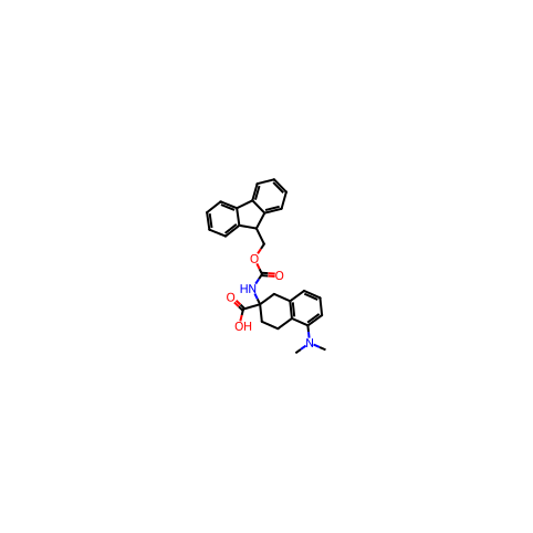 CN(C)c1cccc2c1CCC(NC(=O)OCC1c3ccccc3-c3ccccc31)(C(=O)O)C2